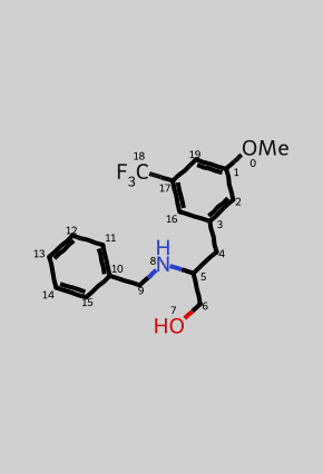 COc1cc(CC(CO)NCc2ccccc2)cc(C(F)(F)F)c1